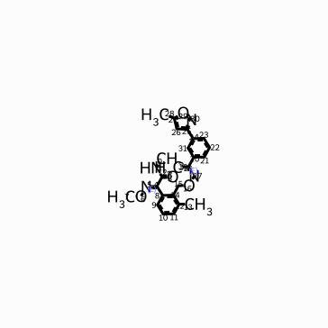 CNC(=O)/C(=N/OC)c1cccc(C)c1CO/N=C(\C)c1cccc(-c2cc(C)on2)c1